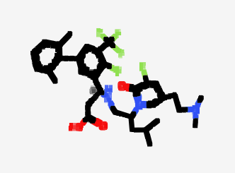 Cc1cccc(C)c1-c1cc([C@H](CC(=O)O)NCC(CC(C)C)n2cc(CCN(C)C)cc(F)c2=O)c(F)c(C(F)(F)F)c1